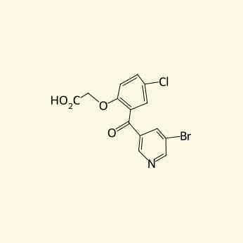 O=C(O)COc1ccc(Cl)cc1C(=O)c1cncc(Br)c1